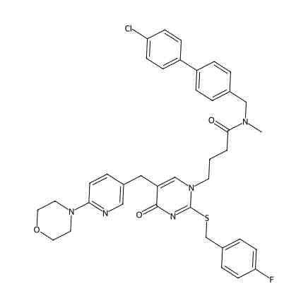 CN(Cc1ccc(-c2ccc(Cl)cc2)cc1)C(=O)CCCn1cc(Cc2ccc(N3CCOCC3)nc2)c(=O)nc1SCc1ccc(F)cc1